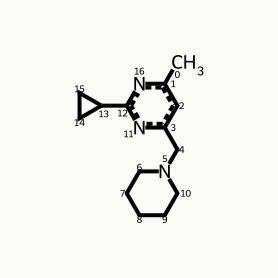 Cc1cc(CN2CCCCC2)nc(C2CC2)n1